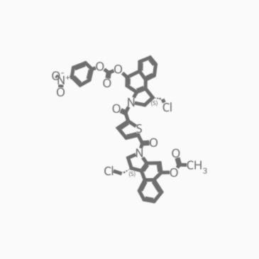 CC(=O)Oc1cc2c(c3ccccc13)[C@H](CCl)CN2C(=O)c1ccc(C(=O)N2C[C@@H](CCl)c3c2cc(OC(=O)Oc2ccc([N+](=O)[O-])cc2)c2ccccc32)s1